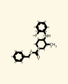 CC1CN(C(=O)OCc2ccccc2)CCC1Nc1ccccc1F